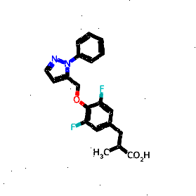 CC(Cc1cc(F)c(OCc2ccnn2-c2ccccc2)c(F)c1)C(=O)O